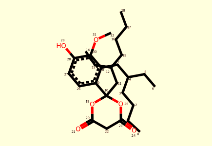 CCCCC(CC)Cc1c(C2(CC(CC)CCCC)OC(=O)CC(=O)O2)ccc(O)c1OC